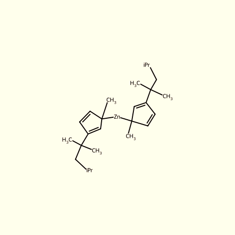 CC(C)CC(C)(C)C1=C[C](C)([Zn][C]2(C)C=CC(C(C)(C)CC(C)C)=C2)C=C1